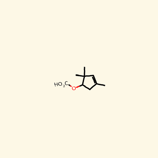 CC1=CC(C)(C)C(OC(=O)O)C1